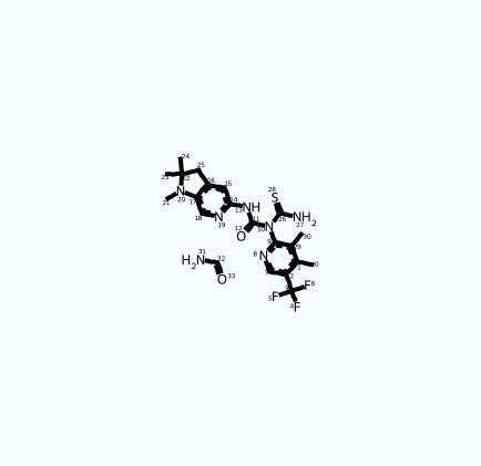 Cc1c(C(F)(F)F)cnc(N(C(=O)Nc2cc3c(cn2)N(C)C(C)(C)C3)C(N)=S)c1C.NC=O